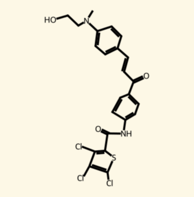 CN(CCO)c1ccc(/C=C/C(=O)c2ccc(NC(=O)c3sc(Cl)c(Cl)c3Cl)cc2)cc1